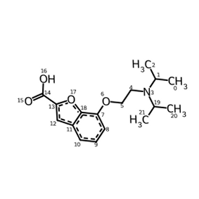 CC(C)N(CCOc1cccc2cc(C(=O)O)oc12)C(C)C